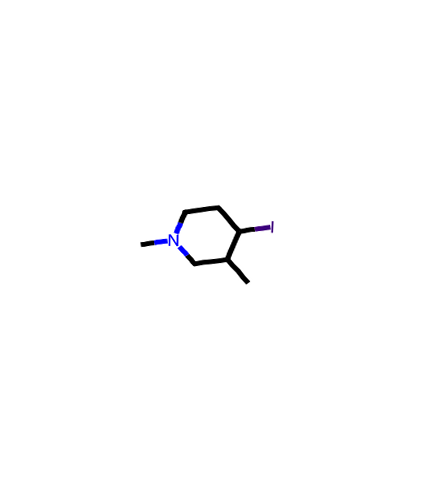 CC1CN(C)CCC1I